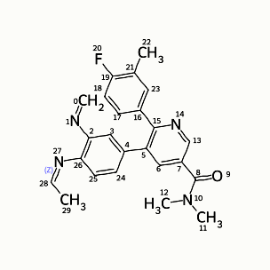 C=Nc1cc(-c2cc(C(=O)N(C)C)cnc2-c2ccc(F)c(C)c2)ccc1/N=C\C